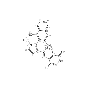 CCc1n[nH]c(=O)c2ccc(-c3cnn(C)c3-c3c(C)cc4ccccc4c3C#N)cc12